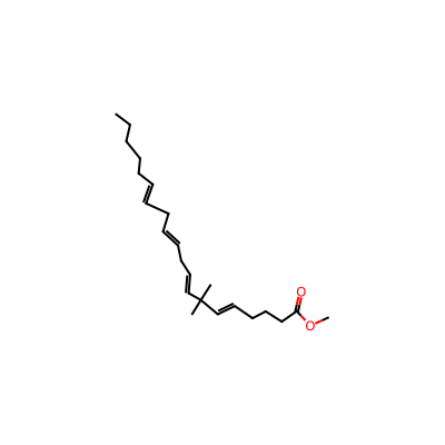 CCCCC/C=C/C/C=C/C/C=C/C(C)(C)/C=C/CCCC(=O)OC